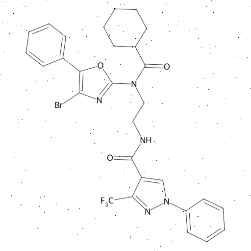 O=C(NCCN(C(=O)C1CCCCC1)c1nc(Br)c(-c2ccccc2)o1)c1cn(-c2ccccc2)nc1C(F)(F)F